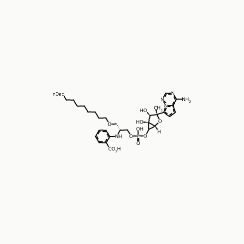 CCCCCCCCCCCCCCCCCCOC[C@H](COP(=O)(O)OC1[C@H]2O[C@@](C)(c3ccc4c(N)ncnn34)[C@H](O)[C@@]12O)Nc1ccccc1C(=O)O